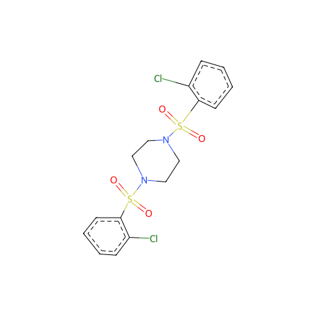 O=S(=O)(c1ccccc1Cl)N1CCN(S(=O)(=O)c2ccccc2Cl)CC1